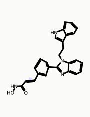 O=C(/C=C/c1cccc(-c2nc3ccccc3n2CCc2c[nH]c3ccccc23)c1)NO